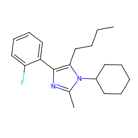 CCCCc1c(-c2ccccc2F)nc(C)n1C1CCCCC1